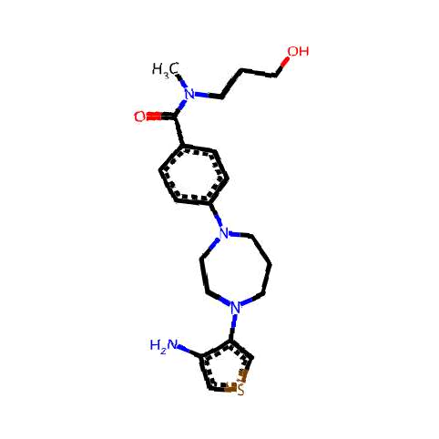 CN(CCCO)C(=O)c1ccc(N2CCCN(c3cscc3N)CC2)cc1